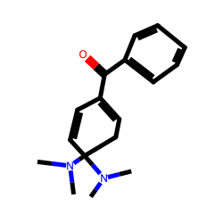 CN(C)C1(N(C)C)C=CC(C(=O)c2ccccc2)=CC1